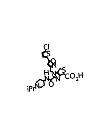 CC(C)N1CCC(NC(=O)c2nc3c(n2Cc2cc(-c4ccc(Cl)s4)on2)CSC3C(=O)O)CC1